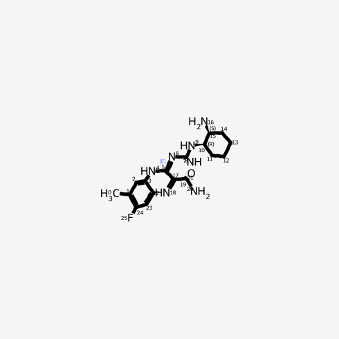 Cc1cc(N/C(=N/C(=N)N[C@@H]2CCCC[C@@H]2N)C(=N)C(N)=O)ccc1F